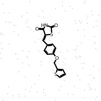 O=C1NC(=O)C(=Cc2ccc(OCc3cccs3)cc2)S1